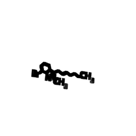 CCCCC=CCc1c2cccc(Br)c2nn1C